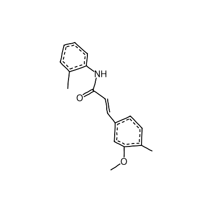 COc1cc(/C=C/C(=O)Nc2ccccc2C)ccc1C